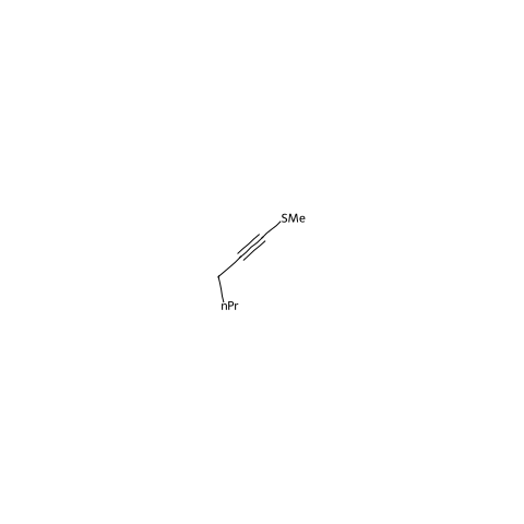 [CH2]CCCC#CSC